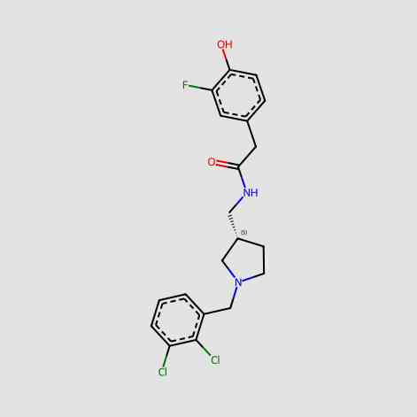 O=C(Cc1ccc(O)c(F)c1)NC[C@@H]1CCN(Cc2cccc(Cl)c2Cl)C1